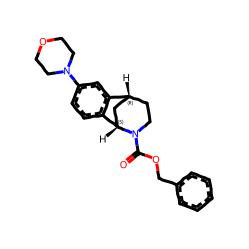 O=C(OCc1ccccc1)N1CC[C@@H]2C[C@H]1c1ccc(N3CCOCC3)cc12